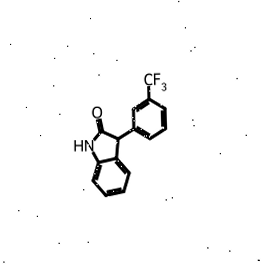 O=C1Nc2ccccc2C1c1cccc(C(F)(F)F)c1